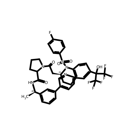 C[C@@H](NC(=O)C1CCCN1C(=O)C[C@@H]1CCc2cc(C(O)(C(F)(F)F)C(F)(F)F)ccc2N1S(=O)(=O)c1ccc(F)cc1)c1cccc(-c2cccnc2)c1